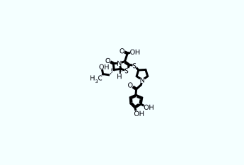 CC(O)C[C@@H]1C(=O)N2C(C(=O)O)=C(SC3CCN(CC(=O)c4ccc(O)c(O)c4)C3)S[C@H]12